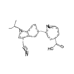 CC(C)n1cc(C#N)c2cc(-c3cc(C(=O)O)ccn3)ccc21